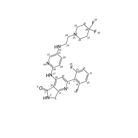 O=C1NCc2nc(-c3c(F)cccc3F)cc(Nc3ccc(NCCN4CCC(F)(F)CC4)cn3)c21